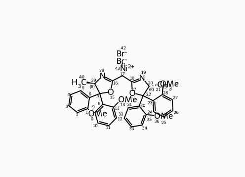 COc1ccccc1C1(c2ccccc2OC)OC(CC2=N[C@H](C)C(c3ccccc3OC)(c3ccccc3OC)O2)=N[C@@H]1C.[Br-].[Br-].[Ni+2]